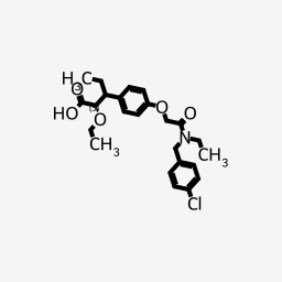 CCO[C@H](C(=O)O)C(CC)c1ccc(OCC(=O)N(CC)Cc2ccc(Cl)cc2)cc1